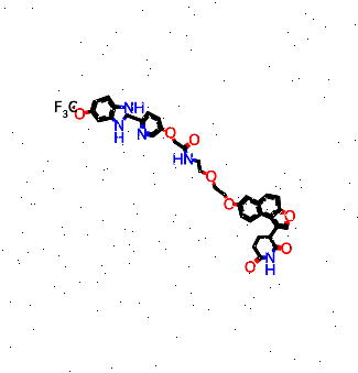 O=C(COc1ccc(C2Nc3ccc(OC(F)(F)F)cc3N2)nc1)NCCOCCOc1ccc2c(ccc3occ(C4CCC(=O)NC4=O)c32)c1